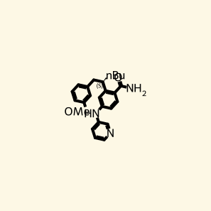 CCCC[C@@H](Cc1cccc(OC)c1)c1cc(Nc2cccnc2)ccc1C(N)=O